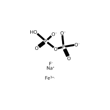 O=P([O-])([O-])OP(=O)([O-])O.[F-].[Fe+3].[Na+]